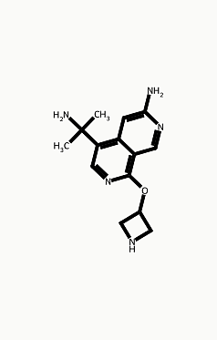 CC(C)(N)c1cnc(OC2CNC2)c2cnc(N)cc12